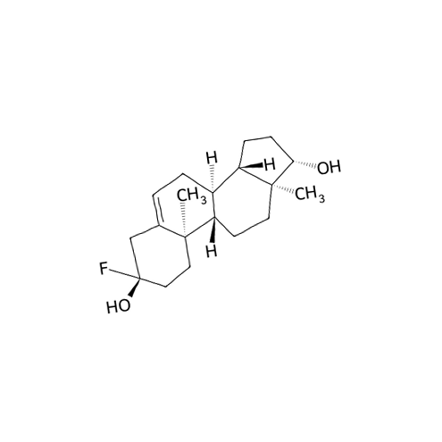 C[C@]12CC[C@H]3[C@@H](CC=C4C[C@@](O)(F)CC[C@@]43C)[C@@H]1CC[C@@H]2O